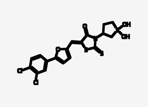 O=C1C(=Cc2ccc(-c3ccc(Cl)c(Cl)c3)o2)SC(=S)N1C1CCS(O)(O)C1